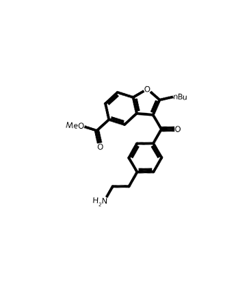 CCCCc1oc2ccc(C(=O)OC)cc2c1C(=O)c1ccc(CCN)cc1